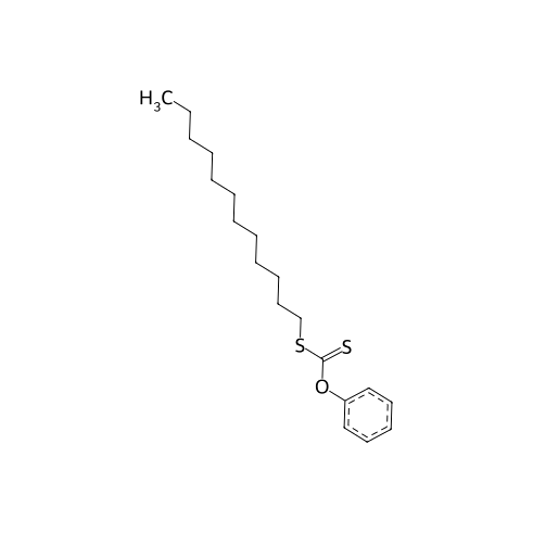 CCCCCCCCCCCCSC(=S)Oc1ccccc1